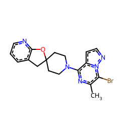 Cc1nc(N2CCC3(CC2)Cc2cccnc2O3)c2ccnn2c1Br